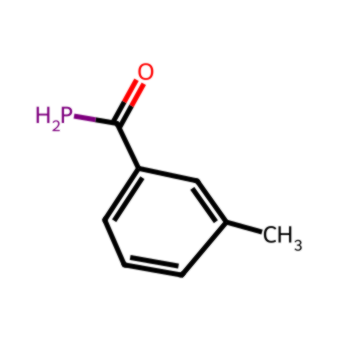 Cc1cccc(C(=O)P)c1